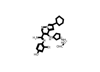 CCc1cc(O)ccc1N=C(N)c1cnn2cc(C3CCCCC3)cc2c1N[C@@H]1CC[C@H](N)C1.O=CO